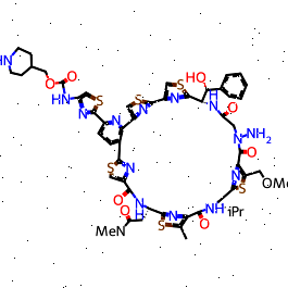 CNC(=O)C[C@@H]1NC(=O)c2csc(n2)-c2ccc(-c3nc(NC(=O)OCC4CCNCC4)cs3)nc2-c2csc(n2)-c2csc(n2)[C@H]([C@@H](O)c2ccccc2)NC(=O)CN(N)C(=O)c2nc(sc2COC)[C@H](C(C)C)NC(=O)c2nc1sc2C